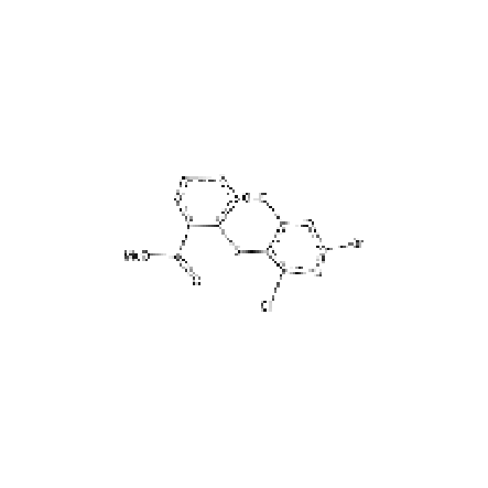 COC(=O)c1ccccc1Sc1c(Cl)cc(Br)cc1C=O